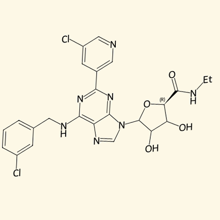 CCNC(=O)[C@@H]1OC(n2cnc3c(NCc4cccc(Cl)c4)nc(-c4cncc(Cl)c4)nc32)C(O)C1O